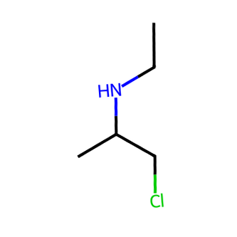 CCNC(C)CCl